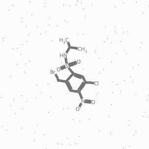 CC(C)NS(=O)(=O)c1cc(Cl)c([N+](=O)[O-])cc1CBr